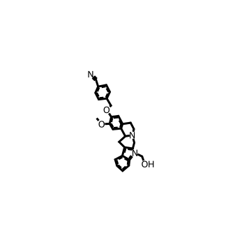 COc1cc2c(cc1OCc1ccc(C#N)cc1)CCN1Cc3c(c4ccccc4n3CO)CC21